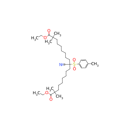 CCOC(=O)C(C)(C)CCCCCCCC(C#N)(CCCCCCCC(C)(C)C(=O)OCC)S(=O)(=O)c1ccc(C)cc1